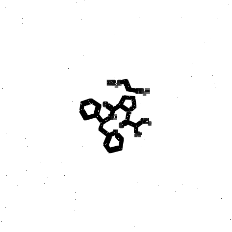 CC(C)C(N)C(=O)N1CCCC1C(=O)N[C@@H](Cc1ccccn1)c1ccccc1.O=C(O)/C=C/C(=O)O